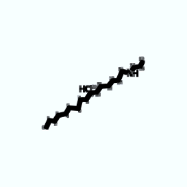 CCCCCCCCCCCCCCCCNCCC.Cl